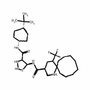 CC(C)(C)[C@H]1CC[C@@H](NC(=O)C2NNSC2NC(=O)C2CNC3(CCCCCCCC3)C(C(F)(F)F)C2)CC1